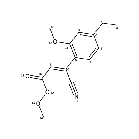 CCc1ccc(C(C#N)=CC(=O)OOC)c(OC)c1